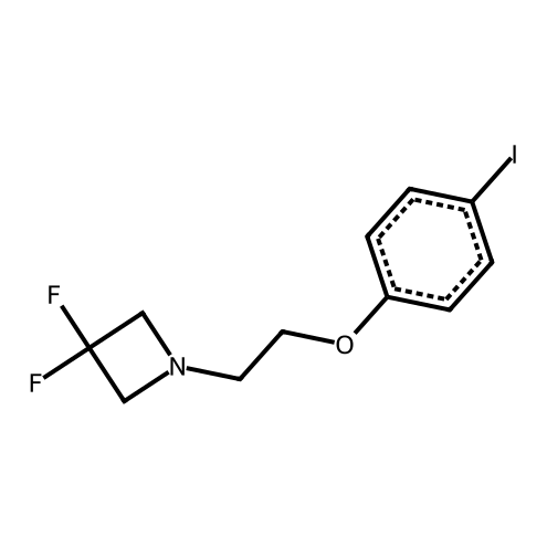 FC1(F)CN(CCOc2ccc(I)cc2)C1